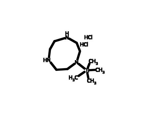 Cl.Cl.[CH3][Ti]([CH3])([CH3])([CH3])[N]1CCNCCNCC1